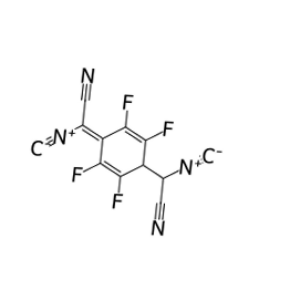 [C-]#[N+]C(C#N)=C1C(F)=C(F)C(C(C#N)[N+]#[C-])C(F)=C1F